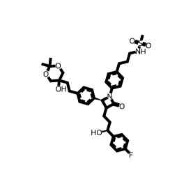 CC1(C)OCC(O)(CCc2ccc([C@@H]3C(CC[C@H](O)c4ccc(F)cc4)C(=O)N3c3ccc(CCCNS(C)(=O)=O)cc3)cc2)CO1